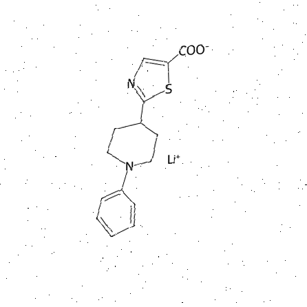 O=C([O-])c1cnc(C2CCN(c3ccccc3)CC2)s1.[Li+]